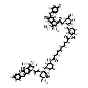 C[C@@H]1CN(CC(=O)N2CC(C)(C)c3[nH]c(=O)c(Cc4ccc(F)cc4)cc32)[C@@H](CN2CCC[C@H](NC(=O)CCCCCCCCC(=O)N[C@H]3CCCN(C[C@H]4CN[C@H](C)CN4CC(=O)N4CC(C)(C)c5[nH]c(=O)c(Cc6ccc(F)cc6)cc54)C3)C2)CN1